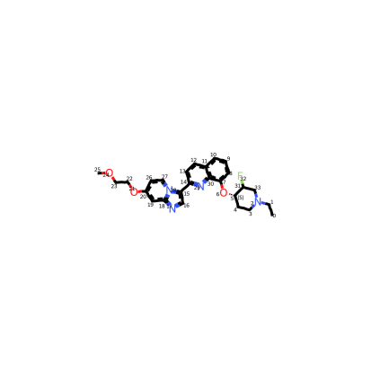 CCN1CC[C@H](Oc2cccc3ccc(-c4cnc5cc(OCCOC)ccn45)nc23)C(F)C1